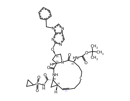 CC(C)(C)OC(=O)N[C@H]1CCCCC/C=C\[C@@H]2C[C@@]2(C(=O)NS(=O)(=O)C2CC2)NC(=O)[C@@H]2C[C@@H](Oc3ncc4ncn(Cc5ccccc5)c4n3)CN2C1=O